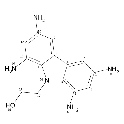 Nc1cc(N)c2c(c1)c1cc(N)cc(N)c1n2CCO